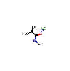 C=C(C)C(=O)NCCC.Cl.N